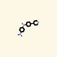 CN(C)c1ccc(N(I)c2ccc(-c3ccncc3)cc2)cc1